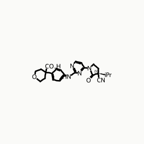 CC(C)[C@]1(C#N)CCN(c2ccnc(Nc3ccc(C4(C(=O)O)CCOCC4)cc3)n2)C1=O